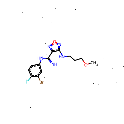 COCCCNc1nonc1C(=N)Nc1ccc(F)c(Br)c1